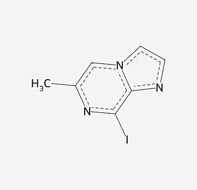 Cc1cn2ccnc2c(I)n1